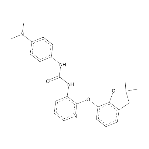 CN(C)c1ccc(NC(=O)Nc2cccnc2Oc2cccc3c2OC(C)(C)C3)cc1